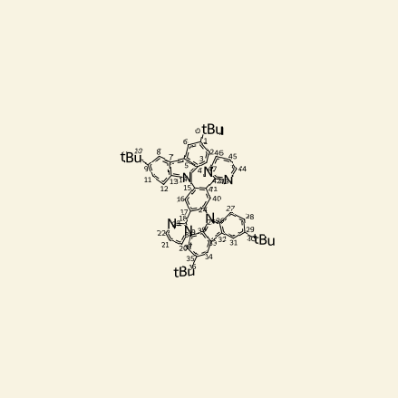 CC(C)(C)c1ccc2c(c1)c1cc(C(C)(C)C)ccc1n2-c1cc(-c2ncccn2)c(-n2c3ccc(C(C)(C)C)cc3c3cc(C(C)(C)C)ccc32)cc1-c1ncccn1